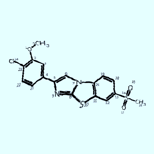 COc1cc(-c2cn3c(n2)sc2cc(S(C)(=O)=O)ccc23)ccc1Cl